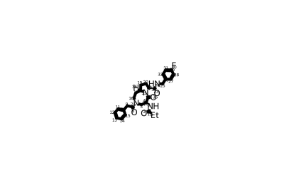 CCC(=O)N[C@H]1CN(C(=O)Cc2ccccc2)CC[C@H]2CC[C@@H](C(=O)NCc3ccc(F)cc3)N2C1=O